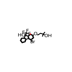 CC(C)(O)CCOc1cc(Br)c2c(c1)[C@@](O)(C(F)(F)F)c1ccccc1-2